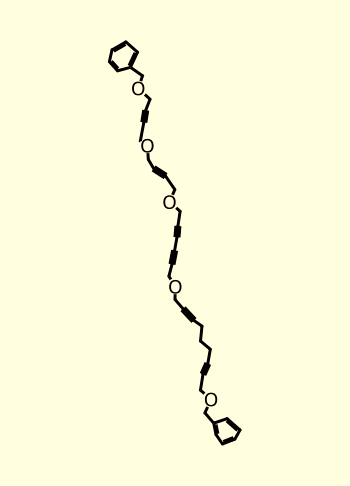 C(C#CCOCC#CCOCC#CCOCc1ccccc1)#CCOCC#CCCCC#CCOCc1ccccc1